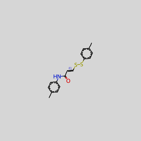 Cc1ccc(NC(=O)/C=C/SSc2ccc(C)cc2)cc1